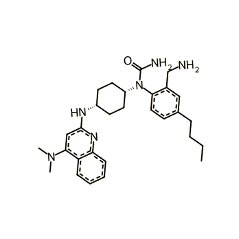 CCCCc1ccc(N(C(N)=O)[C@H]2CC[C@@H](Nc3cc(N(C)C)c4ccccc4n3)CC2)c(CN)c1